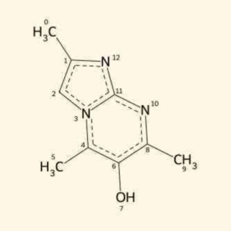 Cc1cn2c(C)c(O)c(C)nc2n1